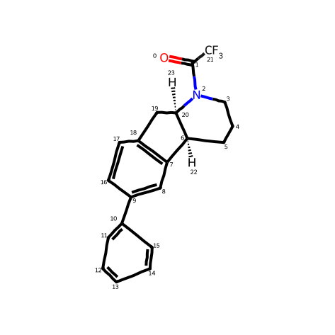 O=C(N1CCC[C@H]2c3cc(-c4ccccc4)ccc3C[C@H]21)C(F)(F)F